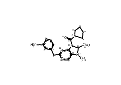 Cc1cccc(Cc2ncc3c(n2)N(C(=O)N2CCCC2)C(C=O)N3C)c1